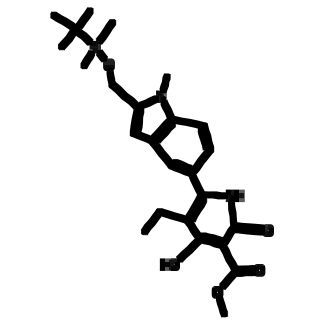 CCc1c(-c2ccc3c(c2)cc(CO[Si](C)(C)C(C)(C)C)n3C)[nH]c(=O)c(C(=O)OC)c1O